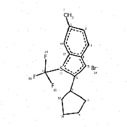 Cc1ccc2cc(C3CCCC3)[s+](C(F)(F)F)c2c1.[Br-]